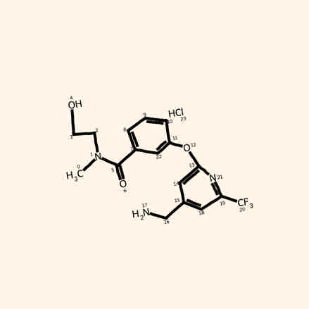 CN(CCO)C(=O)c1cccc(Oc2cc(CN)cc(C(F)(F)F)n2)c1.Cl